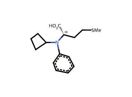 CSCC[C@@H](C(=O)O)N(c1ccccc1)C1CCC1